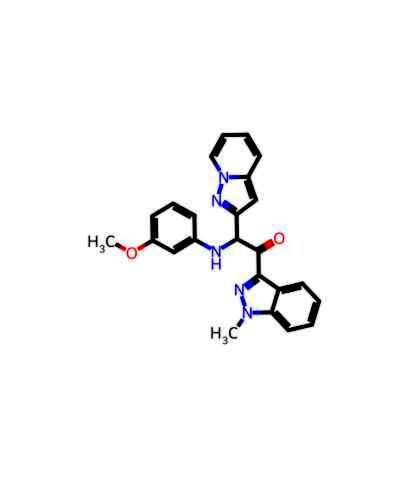 COc1cccc(NC(C(=O)c2nn(C)c3ccccc23)c2cc3ccccn3n2)c1